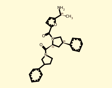 C[C@@H](N)c1ccc(C(=O)N2C[C@@H](c3ccccc3)C[C@H]2C(=O)N2CCC(c3ccccc3)C2)o1